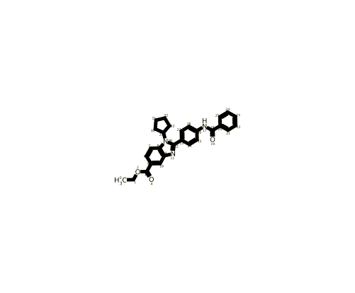 CCOC(=O)c1ccc2c(c1)nc(-c1ccc(NC(=O)c3ccccc3)cc1)n2C1CCCC1